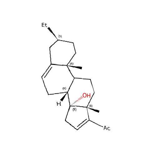 CC[C@H]1CC[C@@]2(C)C(=CC[C@@H]3C2CC[C@]2(C)C(C(C)=O)=CC[C@@]32O)C1